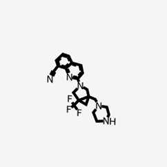 N#Cc1cccc2ccc(N3CC4(CN5CCNCC5)CC4(C(F)(F)F)C3)nc12